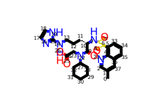 Cc1cnc2c(S(=O)(=O)N[C@@H](CCCNc3ncc[nH]3)C(=O)N(CC(=O)O)C3CCCCC3)cccc2c1